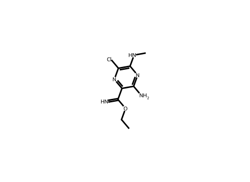 CCOC(=N)c1nc(Cl)c(NC)nc1N